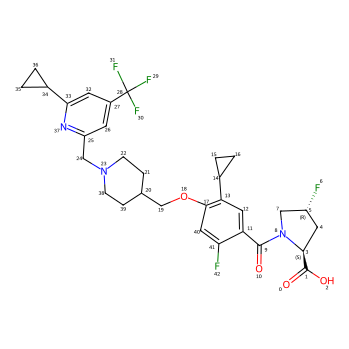 O=C(O)[C@@H]1C[C@@H](F)CN1C(=O)c1cc(C2CC2)c(OCC2CCN(Cc3cc(C(F)(F)F)cc(C4CC4)n3)CC2)cc1F